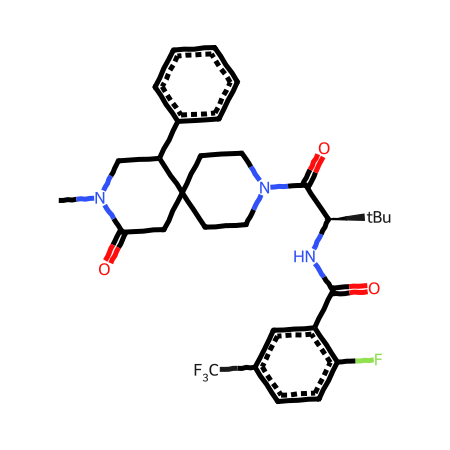 CN1CC(c2ccccc2)C2(CCN(C(=O)[C@H](NC(=O)c3cc(C(F)(F)F)ccc3F)C(C)(C)C)CC2)CC1=O